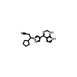 N#CCC(C1CCCC1)n1cc(C2=NCNc3[nH]ccc32)cn1